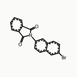 O=C1c2ccccc2C(=O)N1c1ccc2cc(Br)ccc2c1